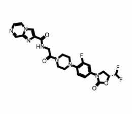 O=C(NCC(=O)N1CCN(c2ccc(N3C[C@H](C(F)F)OC3=O)cc2F)CC1)c1cn2ccncc2n1